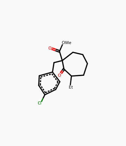 CCC1CCCCC(Cc2ccc(Cl)cc2)(C(=O)OC)C1=O